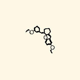 CCOc1cccc(C=C2CCCCC(=Cc3cccc(OCC)c3)C2=O)c1